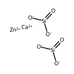 O=[Si]([O-])[O-].O=[Si]([O-])[O-].[Ca+2].[Zn+2]